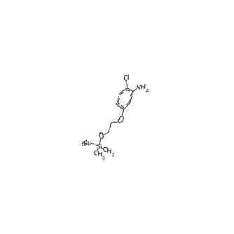 CC(C)(C)[Si](C)(C)OCCOc1ccc(Cl)c(N)c1